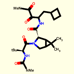 CNC(=O)N[C@H](C(=O)N1CC2C([C@H]1C(=O)NC(CC1CCC1)C(=O)C(=O)NC)C2(C)C)C(C)(C)C